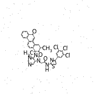 CC1C=c2c(ccc3c2=CC(=O)c2ccccc2-3)C(C)(N2CN(CC(=O)Nc3nc(-c4cc(Cl)c(Cl)c(Cl)c4)cs3)c3cncnc32)C1=O